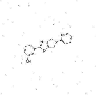 N#Cc1cccc(-c2nc3c(o2)CN(c2ccccn2)C3)c1